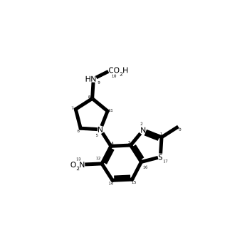 Cc1nc2c(N3CCC(NC(=O)O)C3)c([N+](=O)[O-])ccc2s1